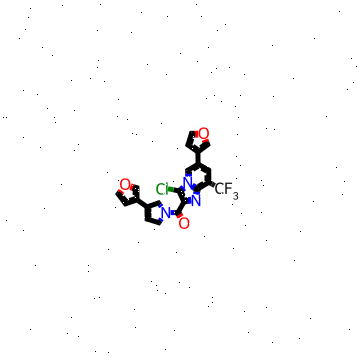 O=C(c1nc2c(C(F)(F)F)cc(-c3ccoc3)cn2c1Cl)N1CC=C(c2ccoc2)C1